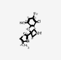 Cc1csc(C2(Oc3cc(Cl)c(F)cc3C#N)CNC2)n1